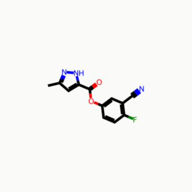 Cc1cc(C(=O)Oc2ccc(F)c(C#N)c2)[nH]n1